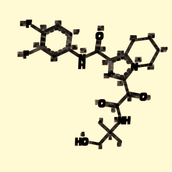 CC(C)(CO)NC(=O)C(=O)c1cc(C(=O)Nc2ccc(F)c(F)c2)c2n1CCCC2